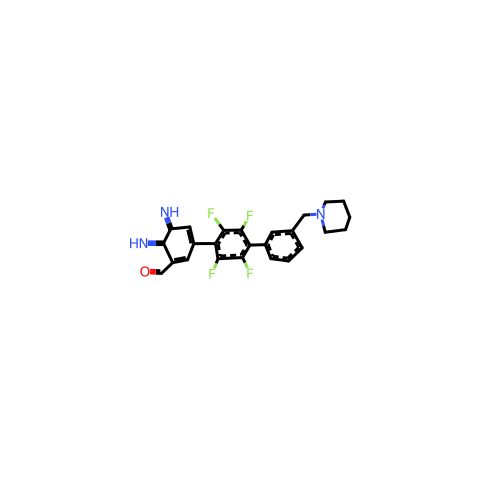 N=C1C=C(c2c(F)c(F)c(-c3cccc(CN4CCCCC4)c3)c(F)c2F)C=C(C=O)C1=N